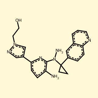 Nc1ccc(-c2cnn(CCO)c2)nc1N(N)C1(c2ccc3ncccc3c2)CC1